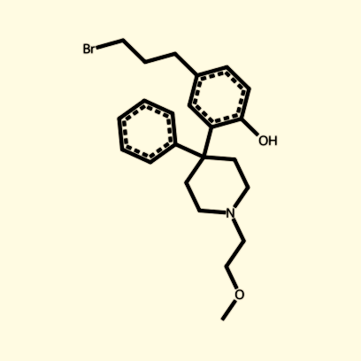 COCCN1CCC(c2ccccc2)(c2cc(CCCBr)ccc2O)CC1